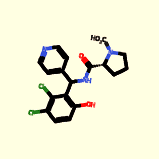 O=C(NC(c1ccncc1)c1c(O)ccc(Cl)c1Cl)[C@H]1CCCN1C(=O)O